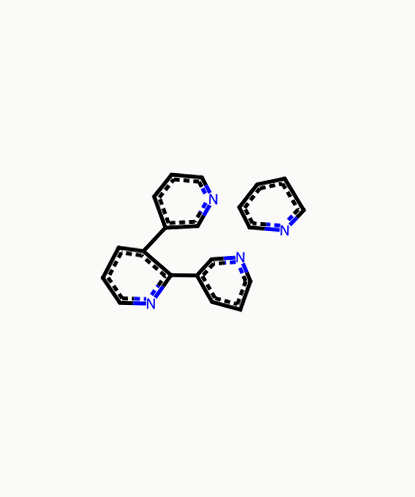 c1ccncc1.c1cncc(-c2cccnc2-c2cccnc2)c1